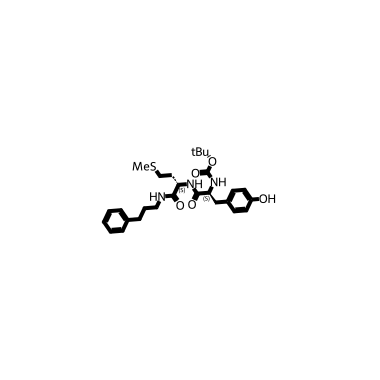 CSCC[C@H](NC(=O)[C@H](Cc1ccc(O)cc1)NC(=O)OC(C)(C)C)C(=O)NCCCc1ccccc1